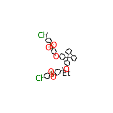 CCC(C)(Oc1ccc(C2(c3ccc(Oc4ccc(S(=O)(=O)c5ccc(C(C)Cl)cc5)cc4)cc3)c3ccccc3-c3ccccc32)cc1)c1ccc(S(=O)(=O)c2ccc(Cl)cc2)cc1